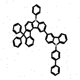 c1ccc(-c2ccc(-n3c4ccccc4c4cc(-c5ccc6c(c5)c5c7c(ccc5n6-c5ccccc5)C(c5ccccc5)(c5ccccc5)c5ccccc5-7)ccc43)cc2)cc1